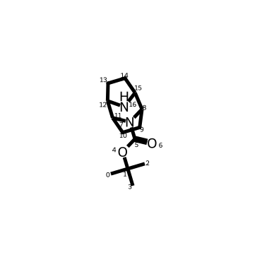 CC(C)(C)OC(=O)N1C2CCC1C1CCC2N1